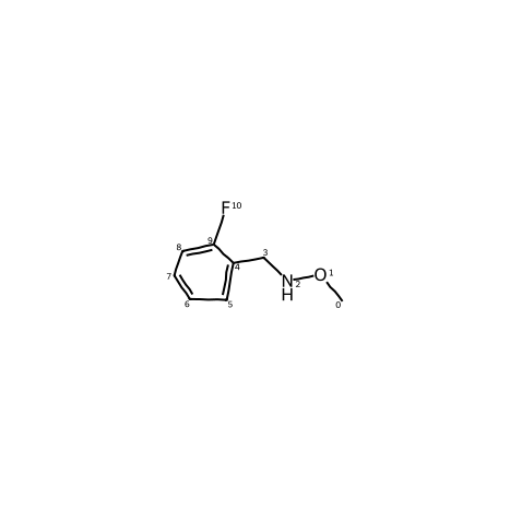 CONCc1ccccc1F